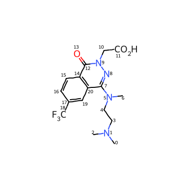 CN(C)CCN(C)c1nn(CC(=O)O)c(=O)c2ccc(C(F)(F)F)cc12